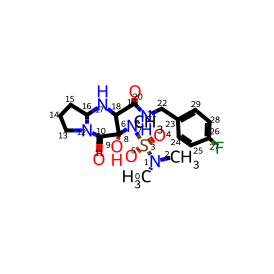 CN(C)S(=O)(=O)N(C)C1(O)C(=O)N2CCCC2NC1C(=O)NCc1ccc(F)cc1